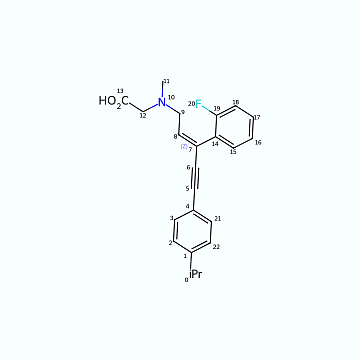 CC(C)c1ccc(C#C/C(=C/CN(C)CC(=O)O)c2ccccc2F)cc1